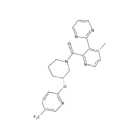 Cc1ccnc(C(=O)N2CCC[C@@H](Oc3ccc(C(F)(F)F)cn3)C2)c1-c1ncccn1